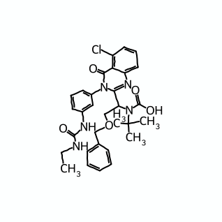 CCNC(=O)Nc1cccc(-n2c(C(COCc3ccccc3)N(C(=O)O)C(C)(C)C)nc3cccc(Cl)c3c2=O)c1